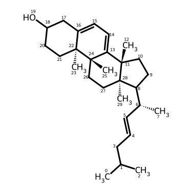 CC(C)C/C=C/[C@@H](C)C1CC[C@@]2(C)C3=CC=C4CC(O)CC[C@]4(C)[C@@]3(C)CC[C@]12C